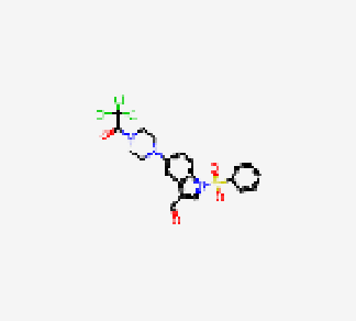 O=Cc1cn(S(=O)(=O)c2ccccc2)c2ccc(N3CCN(C(=O)C(Cl)(Cl)Cl)CC3)cc12